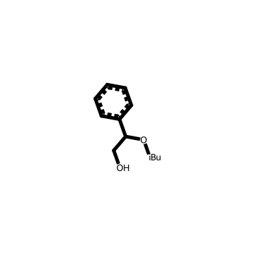 CCC(C)OC(CO)c1ccccc1